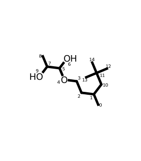 CC(CCOC(O)C(C)O)CC(C)(C)C